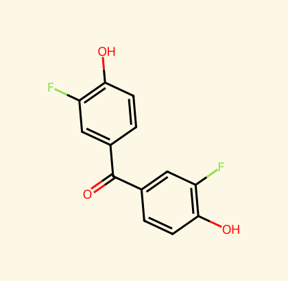 O=C(c1ccc(O)c(F)c1)c1ccc(O)c(F)c1